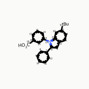 CC(C)(C)c1ccc2cc(-c3ccccc3)n(-c3cccc(C(=O)O)c3)c2c1